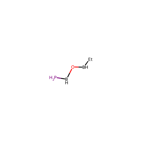 CCBOBP